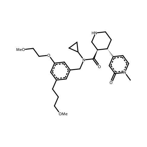 COCCCc1cc(CN(C(=O)[C@H]2CNCC[C@@H]2c2ccn(C)c(=O)c2)C2CC2)cc(OCCOC)c1